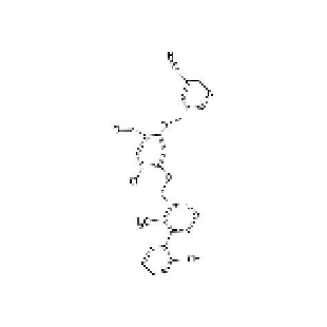 Cc1ccccc1-c1cccc(COc2cc(OCc3cncc(C#N)c3)c(C=O)cc2Cl)c1C